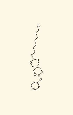 CC(C)CCCCCCCOP1OCC2(CO1)COP(Oc1ccccc1)OC2